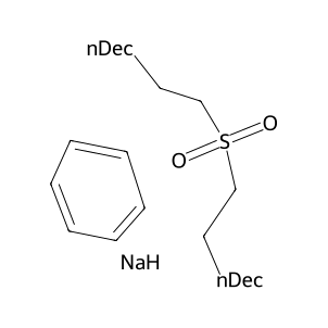 CCCCCCCCCCCCS(=O)(=O)CCCCCCCCCCCC.[NaH].c1ccccc1